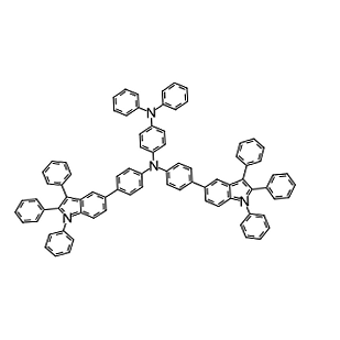 c1ccc(-c2c(-c3ccccc3)n(-c3ccccc3)c3ccc(-c4ccc(N(c5ccc(-c6ccc7c(c6)c(-c6ccccc6)c(-c6ccccc6)n7-c6ccccc6)cc5)c5ccc(N(c6ccccc6)c6ccccc6)cc5)cc4)cc23)cc1